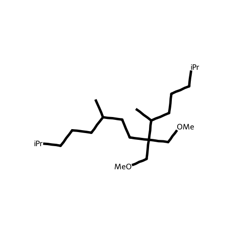 COCC(CCC(C)CCCC(C)C)(COC)C(C)CCCC(C)C